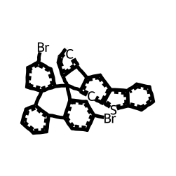 Brc1ccc2c(c1)C1(c3cc(Br)ccc3-c3ccccc3-2)c2ccccc2-c2cc3c(cc21)sc1ccccc13